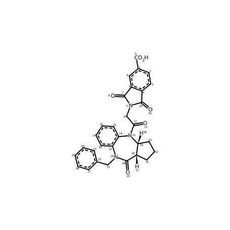 O=C(O)c1ccc2c(c1)C(=O)N(CC(=O)N1c3ccccc3N(Cc3ccccc3)C(=O)[C@H]3CCC[C@H]31)C2=O